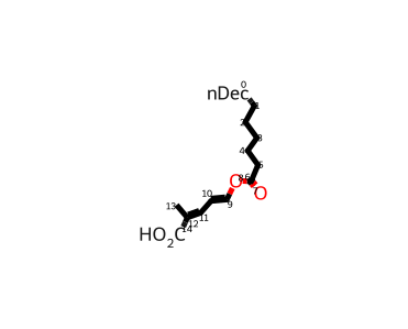 CCCCCCCCCCCCCCCC(=O)OC=CC=C(C)C(=O)O